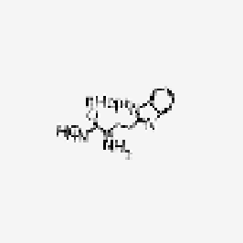 CCCCCCCn1c(CC[C@H](N)C(=O)NO)nc2ccccc21